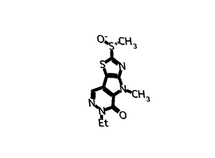 CCn1ncc2c3sc([S+](C)[O-])nc3n(C)c2c1=O